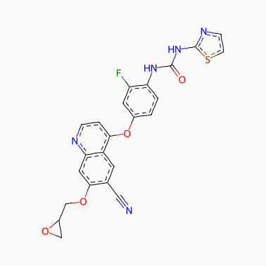 N#Cc1cc2c(Oc3ccc(NC(=O)Nc4nccs4)c(F)c3)ccnc2cc1OCC1CO1